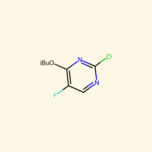 CC(C)COc1nc(Cl)ncc1F